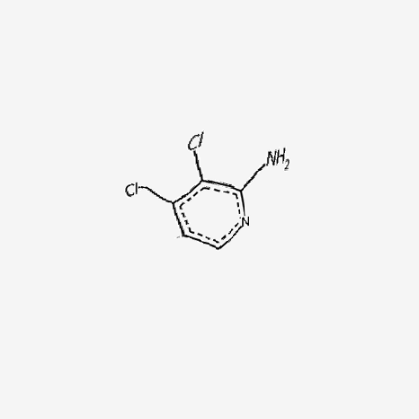 Nc1nc[c]c(Cl)c1Cl